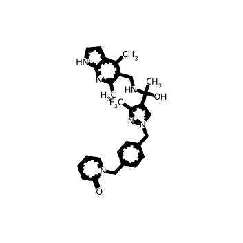 Cc1nc2[nH]ccc2c(C)c1CNC(C)(O)c1cn(Cc2ccc(Cn3ccccc3=O)cc2)nc1C(F)(F)F